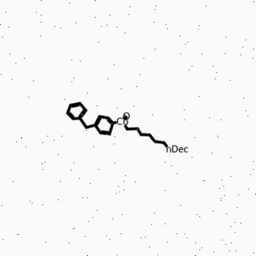 CCCCCCCCCCCCCCC[CH2][Co](=[O])[c]1ccc(Cc2ccccc2)cc1